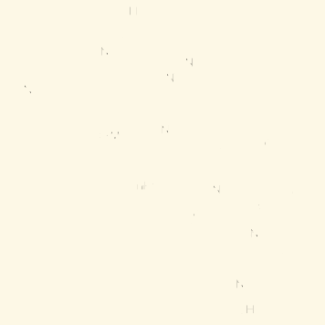 CCCc1nc(-n2ncc3c(C)nc(-c4cnccc4OC)cc32)cc2c(C)c(C(=O)N3CCN(C)CC3)n(C)c12